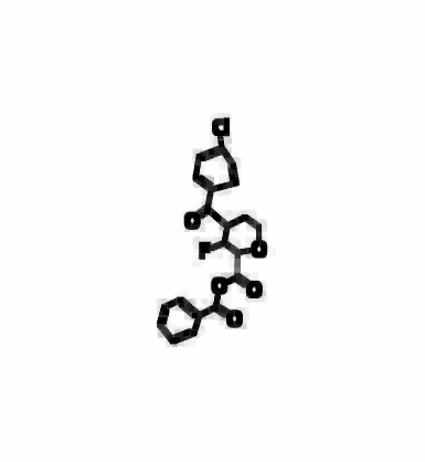 O=C(OC(=O)C1OCCC(C(=O)c2ccc(Cl)cc2)C1F)c1ccccc1